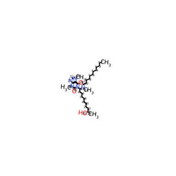 CCCCCCCCCCCCN(C)C(CCCCCCCCC(C)O)n1c(=O)c2c(ncn2C)n(C)c1=O